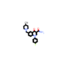 N#CC1CCN(Cc2ccc3c(c2)c(=O)c(C(N)=O)cn3-c2ccc(F)cc2)CC1